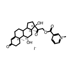 C[n+]1cccc(C(=O)OCC(=O)[C@@]2(O)CCC3C4CCC5=CC(=O)CC[C@]5(C)C4[C@@H](O)C[C@@]32C)c1.[I-]